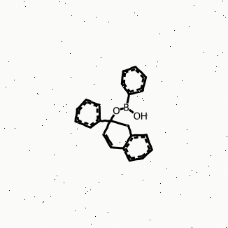 OB(OC1(c2ccccc2)C=Cc2ccccc2C1)c1ccccc1